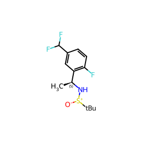 C[C@H](N[S+]([O-])C(C)(C)C)c1cc(C(F)F)ccc1F